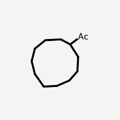 CC(=O)C1CCCCCCCCCC1